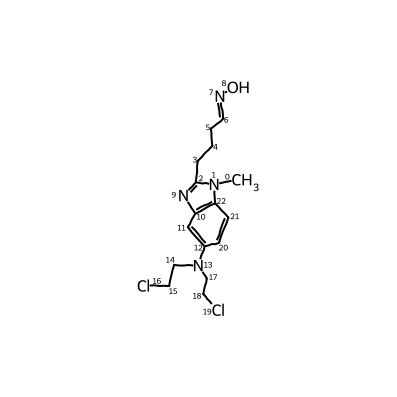 Cn1c(CCCC=NO)nc2cc(N(CCCl)CCCl)ccc21